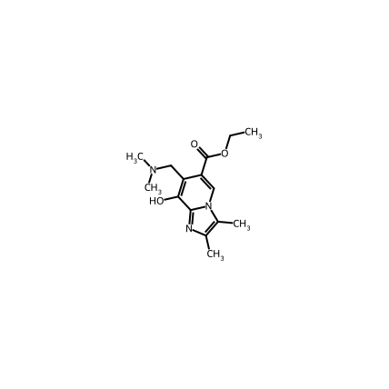 CCOC(=O)c1cn2c(C)c(C)nc2c(O)c1CN(C)C